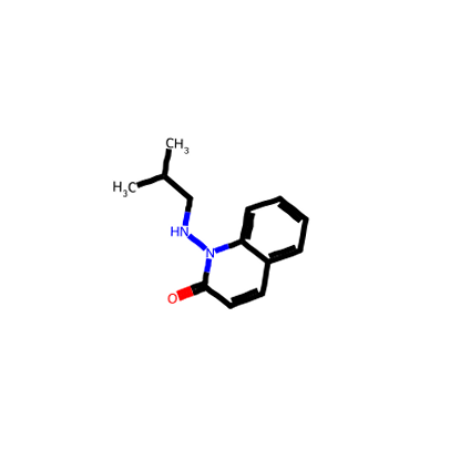 CC(C)CNn1c(=O)ccc2ccccc21